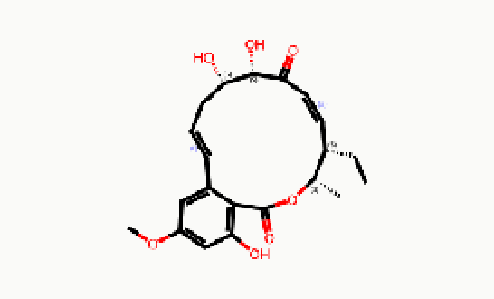 CC[C@H]1/C=C\C(=O)[C@@H](O)[C@@H](O)C/C=C/c2cc(OC)cc(O)c2C(=O)O[C@H]1C